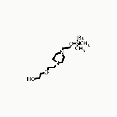 CC(C)(C)[Si](C)(C)OCCN1CCN(CCOCCO)CC1